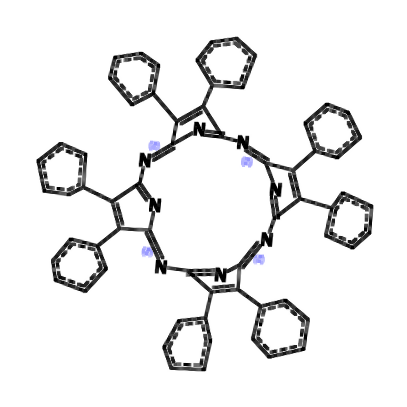 c1ccc(C2=C(c3ccccc3)/C3=N/C4=NC(=N\C5=NC(=N\C6=NC(=N\C2=N3)/C(c2ccccc2)=C6c2ccccc2)/C(c2ccccc2)=C5c2ccccc2)/C(c2ccccc2)=C4c2ccccc2)cc1